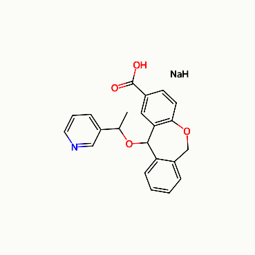 CC(OC1c2ccccc2COc2ccc(C(=O)O)cc21)c1cccnc1.[NaH]